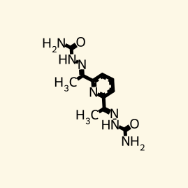 C/C(=N\NC(N)=O)c1cccc(/C(C)=N/NC(N)=O)n1